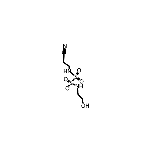 N#CCCNS(=O)(=O)S(=O)(=O)NCCO